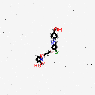 O=C(O)c1cccc(OCCCCOc2cc3nn(C4CCC(CO)CC4)cc3cc2Br)n1